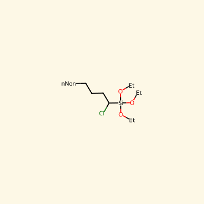 CCCCCCCCCCCCC(Cl)[Si](OCC)(OCC)OCC